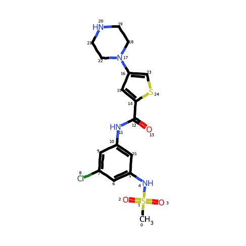 CS(=O)(=O)Nc1cc(Cl)cc(NC(=O)c2cc(N3CCNCC3)cs2)c1